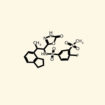 CC(c1cccc2c1CCC2)C(NS(=O)(=O)c1ccc(F)c(S(C)(=O)=O)c1)c1n[nH]c(=O)o1